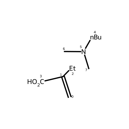 C=C(CC)C(=O)O.CCCCN(C)C